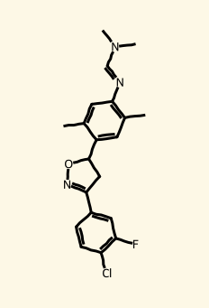 Cc1cc(C2CC(c3ccc(Cl)c(F)c3)=NO2)c(C)cc1N=CN(C)C